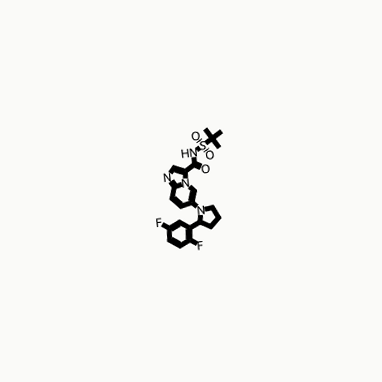 CC(C)(C)S(=O)(=O)NC(=O)c1cnc2ccc(N3CCCC3c3cc(F)ccc3F)cn12